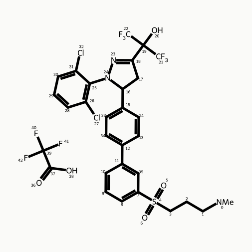 CNCCCS(=O)(=O)c1cccc(-c2ccc(C3CC(C(O)(C(F)(F)F)C(F)(F)F)=NN3c3c(Cl)cccc3Cl)cc2)c1.O=C(O)C(F)(F)F